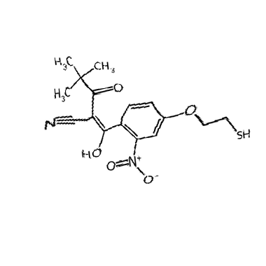 CC(C)(C)C(=O)C(C#N)=C(O)c1ccc(OCCS)cc1[N+](=O)[O-]